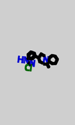 CC(C)C1(N2CCC(c3cccc4[nH]c(Cl)nc34)CC2)CCCCCC1